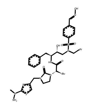 CC[C@H](C)[C@@H](C(=O)N[C@@H](Cc1ccccc1)[C@H](O)CN(CC(C)C)S(=O)(=O)c1ccc(/C=N/O)cc1)N1CCN(Cc2csc(N(C)N)n2)C1=O